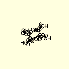 O=C(O)C1CCc2c(OCC(O)COc3cccc4c3CCC(C(=O)O)O4)cccc2O1.O=C(O)c1cc(=O)c2c(OCC(O)COc3cccc4oc(C(=O)O)cc(=O)c34)cccc2o1